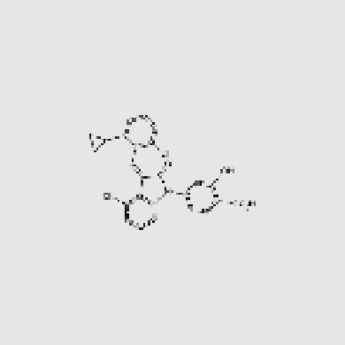 O=C(O)c1ccc(N2C(=O)C(=Cc3c(Cl)cccc3C3CC3)c3c(Cl)cccc32)cc1O